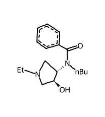 CCCCN(C(=O)c1ccccc1)[C@H]1CN(CC)C[C@@H]1O